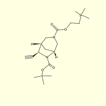 C#C[C@H]1[C@H]2C[C@H](CN(C(=O)OCC[Si](C)(C)C)C2)N1C(=O)OC(C)(C)C